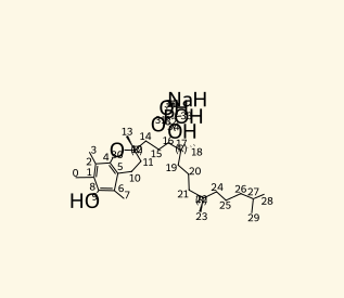 Cc1c(C)c2c(c(C)c1O)CC[C@@](C)(CCC[C@H](C)CCC[C@H](C)CCCC(C)C)O2.O=P(O)(O)O.[NaH]